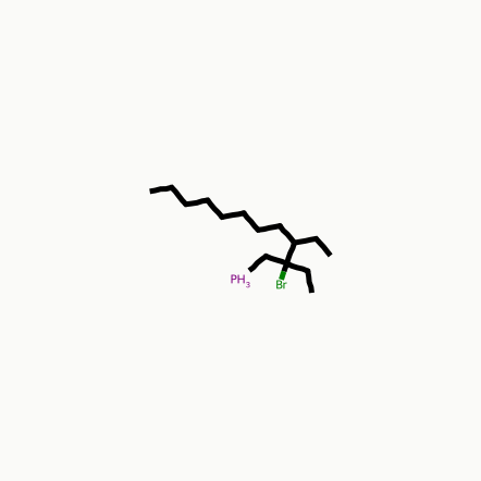 CCCCCCCCC(CC)C(Br)(CC)CC.P